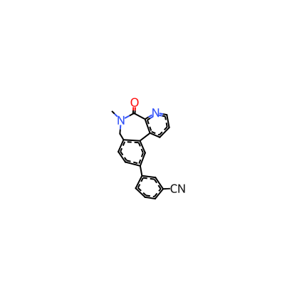 CN1Cc2ccc(-c3cccc(C#N)c3)cc2-c2cccnc2C1=O